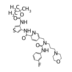 CC(C)(C)OC(=O)Nc1cscc1NC(=O)c1ccc(CN(CCCN2CCOCC2)C(=O)Nc2cccc(F)c2)cn1